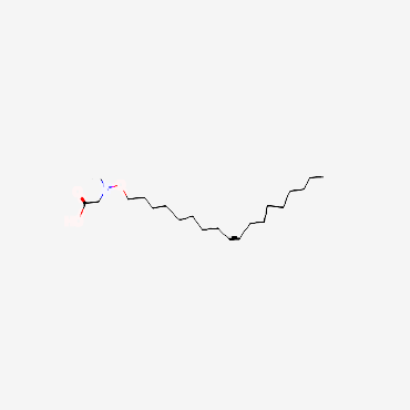 CCCCCCCC/C=C\CCCCCCCCON(C)CC(=O)O